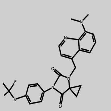 CN(C)c1cccc2c(CN3C(=O)N(c4ccc(SC(F)(F)F)cc4)C(=O)C34CC4)ccnc12